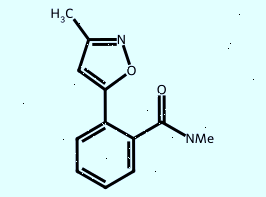 CNC(=O)c1ccccc1-c1cc(C)no1